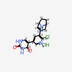 Cl.O=c1[nH]cc(-c2cnc(Cl)c(C3=CC4CCC(C3)N4)c2)c(=O)[nH]1